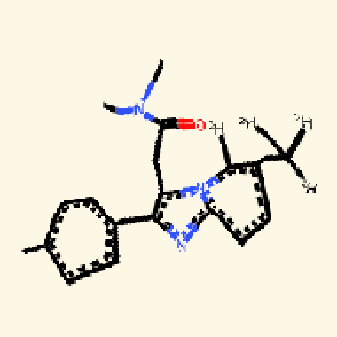 [2H]c1c(C([2H])([2H])[2H])ccc2nc(-c3ccc(C)cc3)c(CC(=O)N(C)C)n12